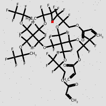 C=CC(=O)OCC(F)(OC(F)(F)C(C(F)(F)OC(F)(F)C(C(F)(F)OC(C)(F)C(F)(F)F)(C(F)(F)OC(C)(F)C(F)(F)F)C(F)(F)OC(C)(F)C(F)(F)F)(C(F)(F)OC(F)(COC(=O)C=C)C(F)(F)F)C(F)(F)OC(F)(COC(=O)C=C)C(F)(F)F)C(F)(F)F